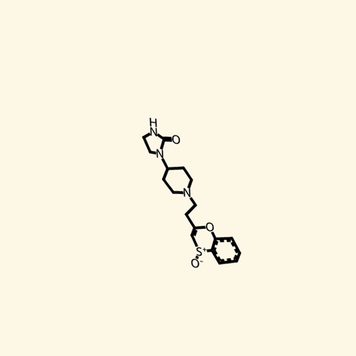 O=C1NCCN1C1CCN(CCC2=C[S+]([O-])c3ccccc3O2)CC1